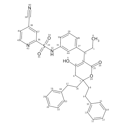 CCC(C1=C(O)CC(CCc2ccccc2)(CCc2ccccc2)OC1=O)c1cccc(NS(=O)(=O)c2cc(C#N)ccn2)c1